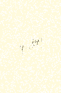 CCc1cc(OCC[C@@H]2CCN2)cnc1Cl